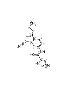 CCCn1cc(C#N)c2cc(NC(=O)c3c[nH]cn3)ccc21